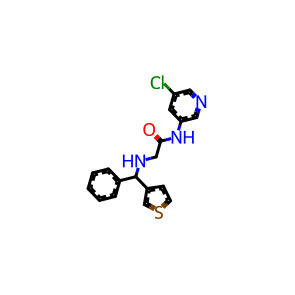 O=C(CNC(c1ccccc1)c1ccsc1)Nc1cncc(Cl)c1